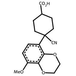 COc1ccc(C2(C#N)CCC(C(=O)O)CC2)c2c1OCCO2